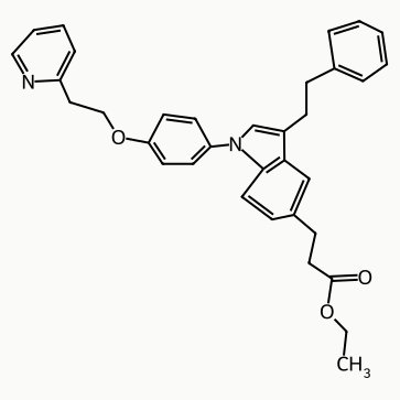 CCOC(=O)CCc1ccc2c(c1)c(CCc1ccccc1)cn2-c1ccc(OCCc2ccccn2)cc1